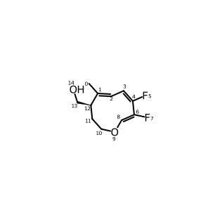 C\C1=C/C=C(F)\C(F)=C\OCC[C@H]1CO